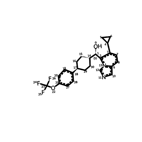 O[C@H](c1c(C2CC2)ccc2cncn12)[C@H]1CC[C@H](c2ccc(OC(F)(F)F)cc2)CC1